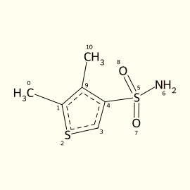 Cc1scc(S(N)(=O)=O)c1C